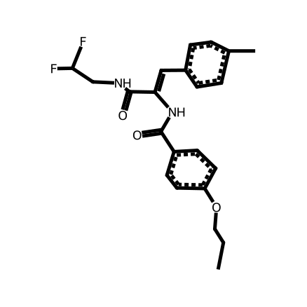 CCCOc1ccc(C(=O)N/C(=C\c2ccc(C)cc2)C(=O)NCC(F)F)cc1